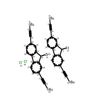 CCCCC#Cc1ccc2c(c1)C(CC)c1cc(C#CCCCC)ccc1-2.CCCCC#Cc1ccc2c(c1)[CH]([Zr+2])c1cc(C#CCCCC)ccc1-2.[Cl-].[Cl-]